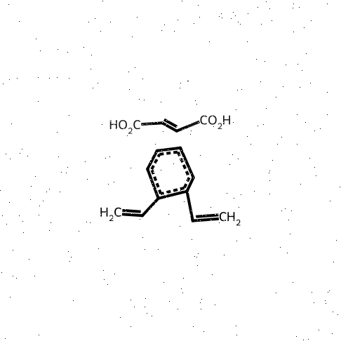 C=Cc1ccccc1C=C.O=C(O)C=CC(=O)O